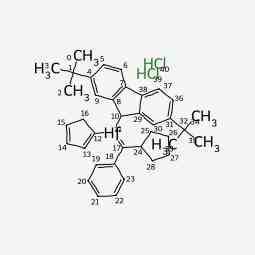 CC(C)(C)c1ccc2c(c1)[CH](/[Hf]([C]1=CC=CC1)=[C](/c1ccccc1)C1CCCC1)c1cc(C(C)(C)C)ccc1-2.Cl.Cl